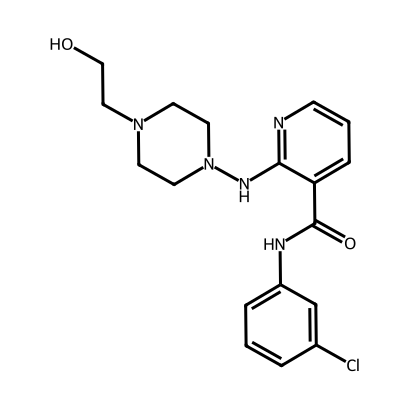 O=C(Nc1cccc(Cl)c1)c1cccnc1NN1CCN(CCO)CC1